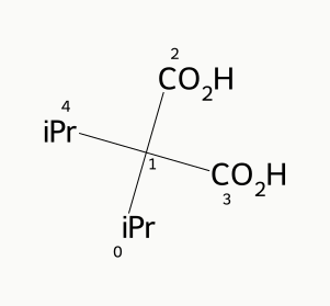 CC(C)C(C(=O)O)(C(=O)O)C(C)C